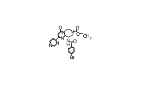 CCOC(=O)N1CCn2c(nc(-c3ccncn3)cc2=O)C(NC(=O)c2ccc(Br)cc2)C1